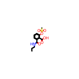 CCCNC(=O)c1cccc(OS(C)(=O)=O)c1C(=O)O